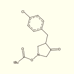 CC(C)(C)C(=O)ON1CC(=O)C(Cc2ccc(Cl)cc2)C1